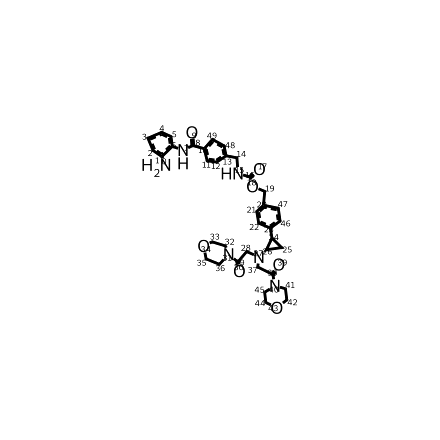 Nc1ccccc1NC(=O)c1ccc(CNC(=O)OCc2ccc(C3C[C@@H]3N(CC(=O)N3CCOCC3)CC(=O)N3CCOCC3)cc2)cc1